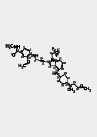 CNC(=O)c1ccc(NCC#Cc2cc3c(NC4CCC(N(C)CCOC)CC4)cccc3n2CC(F)(F)F)c(OC)c1